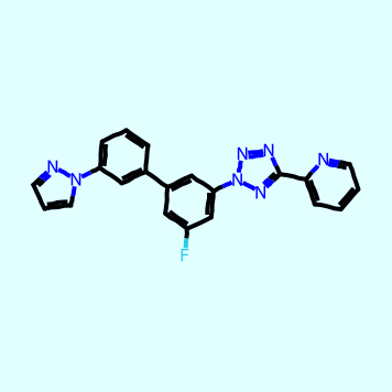 Fc1cc(-c2cccc(-n3cccn3)c2)cc(-n2nnc(-c3ccccn3)n2)c1